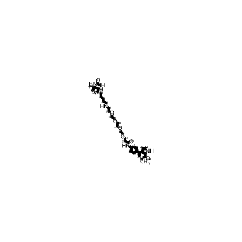 Cn1cc(-c2ccc(NC(=O)CCOCCOCCOCCOCCNCCCCC[C@@H]3SC[C@@H]4NC(=O)N[C@@H]43)cc2)c2cc[nH]c2c1=O